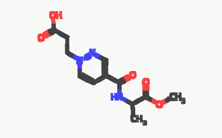 COC(=O)C(C)NC(=O)c1cc[n+](CCC(=O)O)nc1